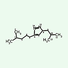 CC(C)CCCC1=CC(CC(C)C)N=N1